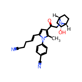 Cc1c(C(=O)CN2[C@H]3CC[C@@H]2[C@H](O)C3)cc(/C=C/CCC#N)n1-c1ccc(C#N)cc1